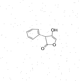 O=C1OC=C(O)C1c1ccccc1